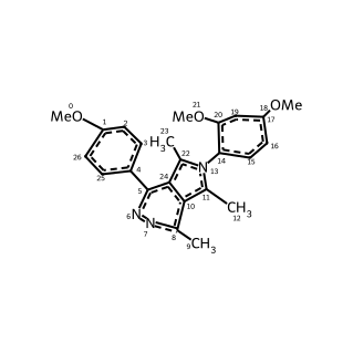 COc1ccc(-c2nnc(C)c3c(C)n(-c4ccc(OC)cc4OC)c(C)c23)cc1